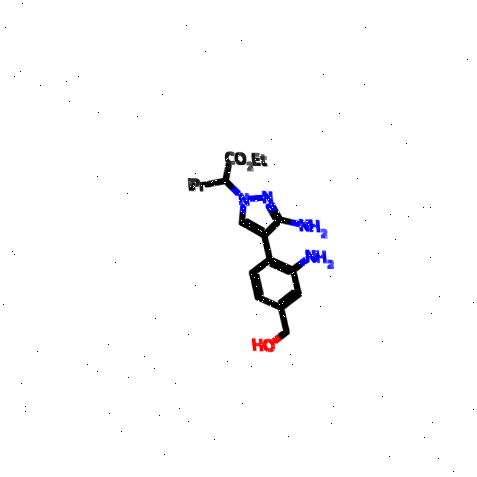 CCOC(=O)C(C(C)C)n1cc(-c2ccc(CO)cc2N)c(N)n1